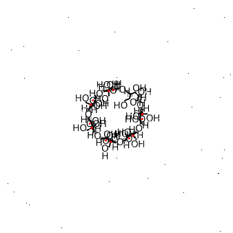 OCC1O[C@@H]2O[C@@H]3C(CO)O[C@H](O[C@@H]4C(CO)O[C@H](O[C@@H]5C(CO)O[C@H](O[C@@H]6C(CO)O[C@H](O[C@@H]7C(CO)O[C@H](O[C@@H]8C(CO)O[C@H](O[C@H]1C(O)[C@H]2O)C(O)[C@H]8O)C(O)[C@H]7O)C(O)[C@H]6O)C(O)[C@H]5O)C(O)[C@H]4O)[C@H](O)C3O